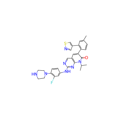 Cc1ccc(-c2cc3cnc(Nc4ccc(N5CCNCC5)c(F)c4)nc3n(C(C)C)c2=O)c(-c2cnsc2)c1